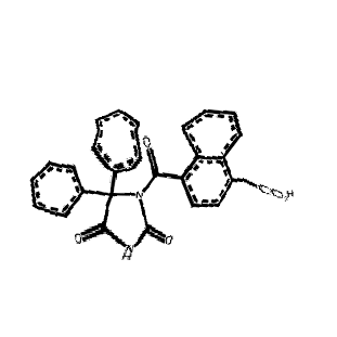 O=C(O)c1ccc(C(=O)N2C(=O)NC(=O)C2(c2ccccc2)c2ccccc2)c2ccccc12